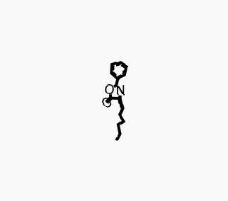 CCCCCC=C1N=C(c2ccccc2)OC1=O